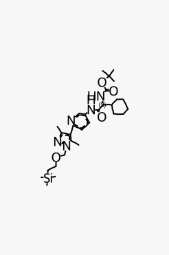 Cc1nn(COCC[Si](C)(C)C)c(C)c1-c1ccc(NC(=O)[C@@H](NC(=O)OC(C)(C)C)C2CCCCC2)cn1